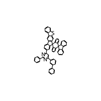 c1ccc(-c2cccc(-c3cc(-c4ccc5c(c4)C4(c6cc7sc8ccccc8c7cc6-5)c5ccccc5C5(c6ccccc6-c6ccccc65)c5ccccc54)nc(-c4ccccc4)n3)c2)cc1